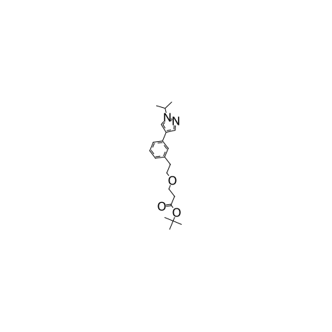 CC(C)n1cc(-c2cccc(CCOCCC(=O)OC(C)(C)C)c2)cn1